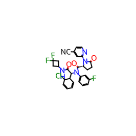 N#Cc1ccnc(N2C(=O)CC[C@H]2C(=O)N(c2cccc(F)c2)[C@H](C(=O)NC2CC(F)(F)C2)C2C=CC=CC2Cl)c1